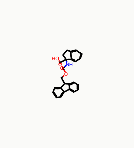 O=C(NC1(C(=O)O)CCc2ccccc21)OCC1c2ccccc2-c2ccccc21